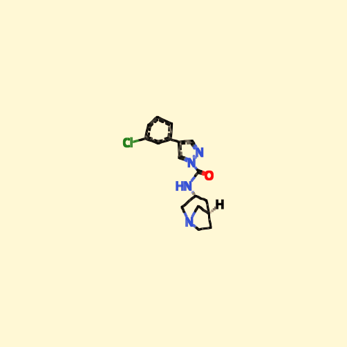 O=C(N[C@@H]1C[C@H]2CCN(C2)C1)n1cc(-c2cccc(Cl)c2)cn1